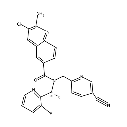 C[C@H](c1ncccc1F)N(Cc1ccc(C#N)cn1)C(=O)c1ccc2nc(N)c(Cl)cc2c1